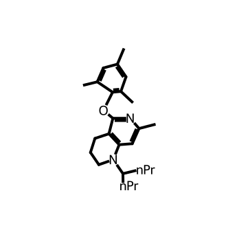 CCCC(CCC)N1CCCc2c1cc(C)nc2Oc1c(C)cc(C)cc1C